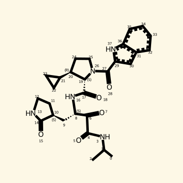 CC(C)NC(=O)C(=O)[C@H](C[C@@H]1CCNC1=O)NC(=O)[C@@H]1[C@@H](C2CC2)CCN1C(=O)c1cc2ccccc2[nH]1